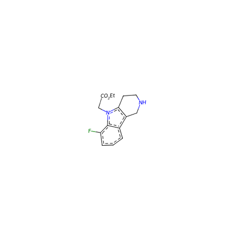 CCOC(=O)Cn1c2c(c3cccc(F)c31)CNCC2